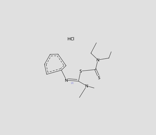 CCN(CC)C(=S)S/C(=N\c1ccccc1)N(C)C.Cl